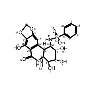 O=C1N[C@H]2[C@H](O)[C@H](O)[C@@H](O)[C@H](NS(=O)(=O)c3ccccc3)[C@@H]2c2cc3c(c(O)c21)OCO3